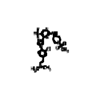 CN(C)CCc1ccc(-n2cnc(-c3nc(NC4CCN(S(C)(=O)=O)CC4)ncc3C(F)(F)F)c2)c(Cl)c1